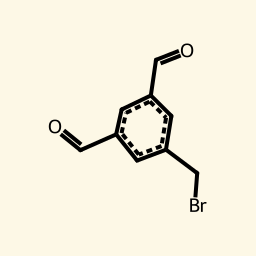 O=Cc1cc(C=O)cc(CBr)c1